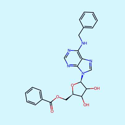 O=C(OC[C@H]1O[C@@H](n2cnc3c(NCc4ccccc4)ncnc32)C(O)C1O)c1ccccc1